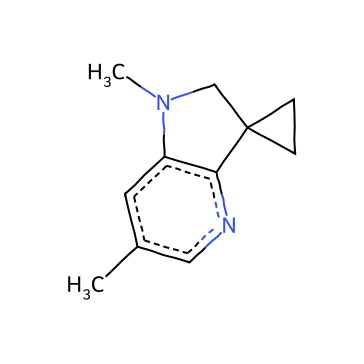 Cc1cnc2c(c1)N(C)CC21CC1